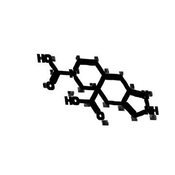 O=C(O)N1C=CC2=Cc3n[nH]cc3CC2(C(=O)O)C1